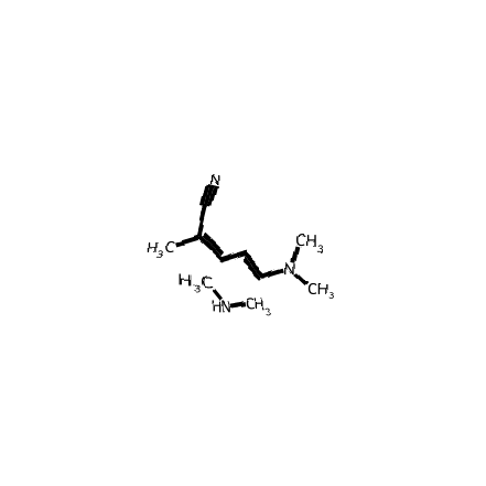 CC(C#N)=CC=CN(C)C.CNC